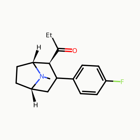 CCC(=O)[C@H]1C(c2ccc(F)cc2)C[C@@H]2CC[C@H]1N2C